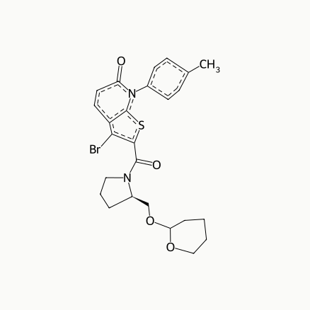 Cc1ccc(-n2c(=O)ccc3c(Br)c(C(=O)N4CCC[C@@H]4COC4CCCCO4)sc32)cc1